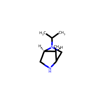 CC(C)N1CC2NC[C@@H]1[C@H]2C